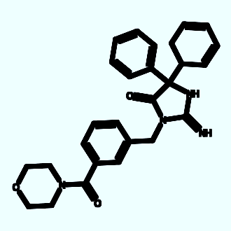 N=C1NC(c2ccccc2)(C2C=CC=CC2)C(=O)N1Cc1cccc(C(=O)N2CCOCC2)c1